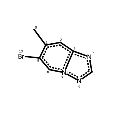 Cc1cc2ncnn2cc1Br